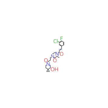 CC1C(=O)N(CCC(=O)N2CCC3(CC3)C(O)C2)CCN1C(=O)/C=C/c1ccc(F)c(Cl)c1